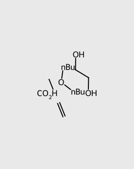 C=C.CC(=O)O.CCCCOCCCC.OCCO